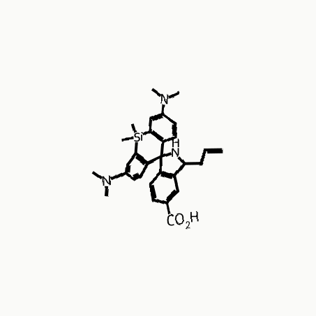 C=CCC1NC2(c3ccc(C(=O)O)cc31)c1ccc(N(C)C)cc1[Si](C)(C)c1cc(N(C)C)ccc12